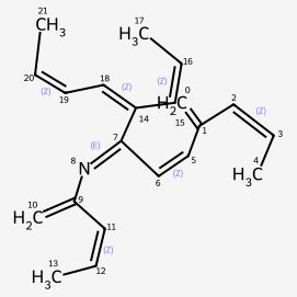 C=C(/C=C\C)\C=C/C(=N\C(=C)/C=C\C)C(/C=C\C)=C\C=C/C